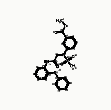 COC(=O)c1cccc(N(CC(=O)Nc2ccccc2Sc2ccccc2)S(C)(=O)=O)c1